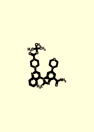 Cc1nc2c(C(N)=O)cc(N3CCOCC3)cc2n1-c1cc(N2CCN(C(=O)OC(C)(C)C)CC2)nc2ccccc12